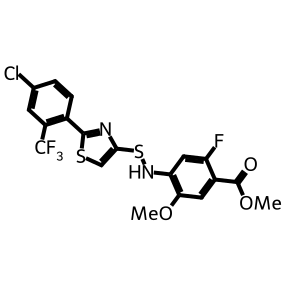 COC(=O)c1cc(OC)c(NSc2csc(-c3ccc(Cl)cc3C(F)(F)F)n2)cc1F